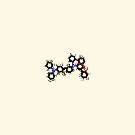 c1ccc(-c2ccccc2N(c2ccc3oc4ccccc4c3c2)c2ccc3sc4cc(N(c5ccccc5)c5ccccc5)ccc4c3c2)cc1